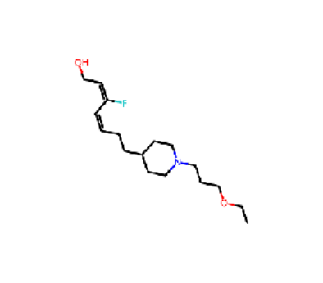 CCOCCCN1CCC(CC/C=C\C(F)=C/CO)CC1